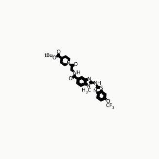 Cn1c(Nc2nc3ccc(OC(F)(F)F)cc3s2)nc2cc(C(=O)NCC(=O)N3CCC(C(=O)OC(C)(C)C)CC3)ccc21